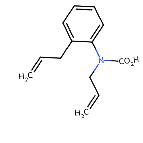 C=CCc1ccccc1N(CC=C)C(=O)O